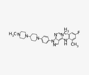 Cc1cc(F)cc(C)c1Nc1ncnc2c1cnn2-c1ccc(N2CCC(N3CCN(C)CC3)CC2)cc1